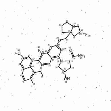 CCc1c(F)ccc2cc(O)cc(-c3ncc4c(N5C[C@H](O)C[C@H]5C(N)=O)nc(OCC56CCCN5C[C@H](F)C6)nc4c3F)c12